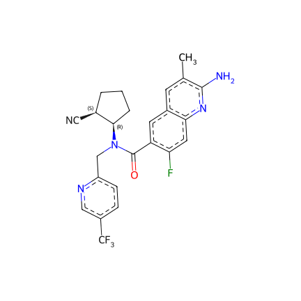 Cc1cc2cc(C(=O)N(Cc3ccc(C(F)(F)F)cn3)[C@@H]3CCC[C@@H]3C#N)c(F)cc2nc1N